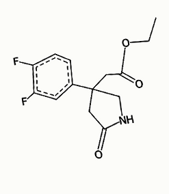 CCOC(=O)CC1(c2ccc(F)c(F)c2)CNC(=O)C1